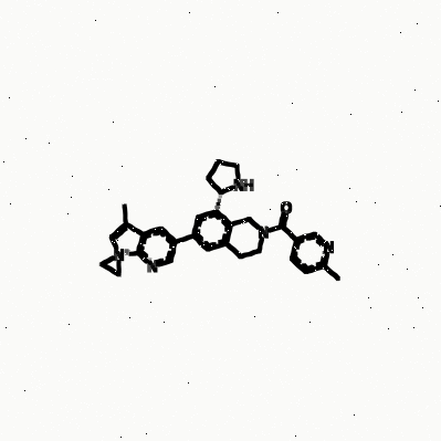 CC1=C[N+]2(CC2)c2ncc(-c3cc4c(c([C@@H]5CCCN5)c3)CN(C(=O)c3ccc(C)nc3)CC4)cc21